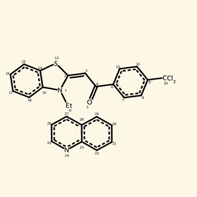 CCN1C(=CC(=O)c2ccc(C(Cl)(Cl)Cl)cc2)Sc2ccccc21.c1ccc2ncccc2c1